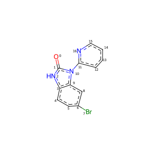 O=c1[nH]c2ccc(Br)cc2n1-c1ccccn1